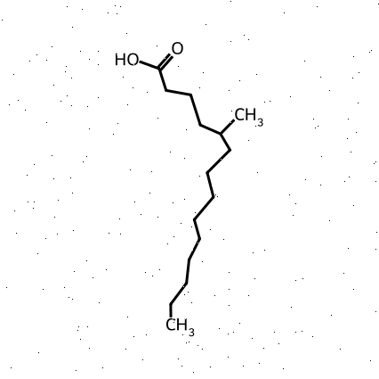 CCCCCCCCCC(C)CCCC(=O)O